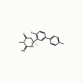 Cc1ccc(-c2ccc(F)c([C@]3(C)CC(=O)N(C)C(=N)N3)c2)cc1